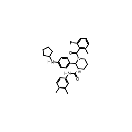 Cc1ccc(NC(=O)[C@H]2CCCN(C(=O)c3c(C)cccc3F)C2c2ccc(NC3CCCC3)cc2)cc1C